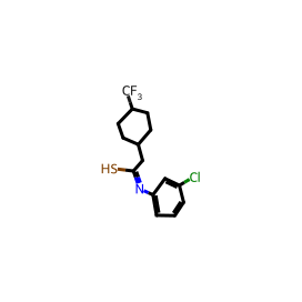 FC(F)(F)C1CCC(C/C(S)=N\c2cccc(Cl)c2)CC1